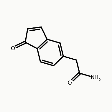 NC(=O)Cc1ccc2c(c1)C=CC2=O